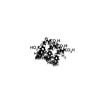 N[C@H](CC(=O)O)C(=O)N1CC(Oc2ccc3c(c2C(=O)O)O[B-](O)(O)CC3)C1.N[C@H](CC(=O)O)C(=O)N1CC(Oc2ccc3c(c2C(=O)O)O[B-](O)(O)CC3)C1.N[C@H](CC(=O)O)C(=O)N1CC(Oc2ccc3c(c2C(=O)O)O[B-](O)(O)CC3)C1.[Na+].[Na+].[Na+]